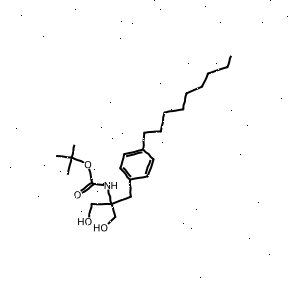 CCCCCCCCCc1ccc(CC(CO)(CO)NC(=O)OC(C)(C)C)cc1